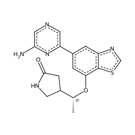 C[C@@H](Oc1cc(-c2cncc(N)n2)cc2ncsc12)C1CNC(=O)C1